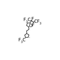 F[C](C(F)(F)F)C(F)(C1CCC(CCC2C[CH]C(C(F)(F)F)C2)O1)C(F)(F)F